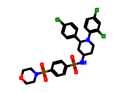 O=S(=O)(NC1CCN(c2ccc(Cl)cc2Cl)[C@H](c2ccc(Cl)cc2)C1)c1ccc(S(=O)(=O)N2CCOCC2)cc1